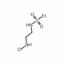 CCS(=O)(=O)NCCNCl